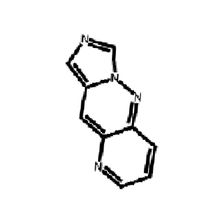 c1cnc2cc3cncn3nc2c1